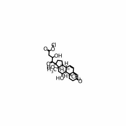 C[C@]12CCC(=O)C=C1C=C[C@@H]1[C@@H]2[C@@H](O)C[C@@]2(C)[C@H]1CC[C@]2(O)C(=O)C(O)CC(=O)OCl